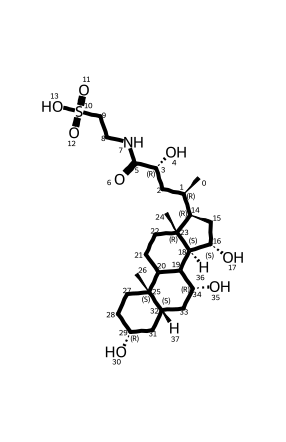 C[C@H](C[C@@H](O)C(=O)NCCS(=O)(=O)O)[C@H]1C[C@H](O)[C@H]2C3C(CC[C@]12C)[C@@]1(C)CC[C@@H](O)C[C@H]1C[C@H]3O